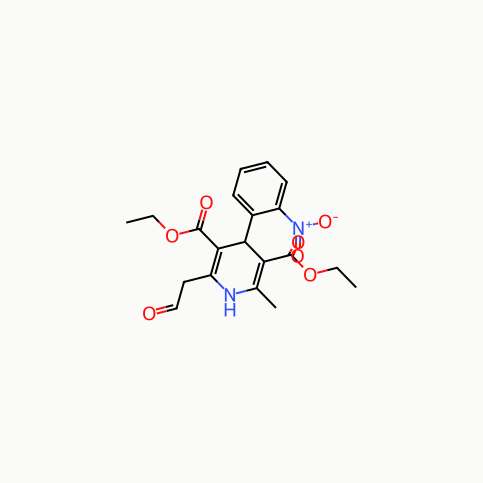 CCOC(=O)C1=C(C)NC(CC=O)=C(C(=O)OCC)C1c1ccccc1[N+](=O)[O-]